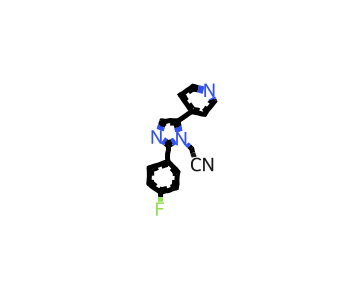 N#CCn1c(-c2ccncc2)cnc1-c1ccc(F)cc1